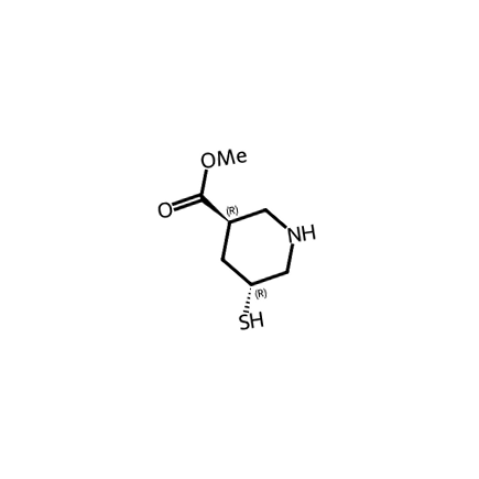 COC(=O)[C@H]1CNC[C@H](S)C1